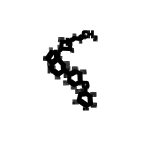 C=CCN1CC(n2ccc3ncc(-c4ccc(Oc5ccccc5)cc4)cc32)C1